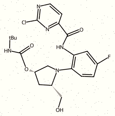 CC(C)(C)NC(=O)O[C@H]1C[C@@H](CO)N(c2ccc(F)cc2NC(=O)c2ccnc(Cl)n2)C1